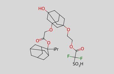 CC(C)C1(OC(=O)COC23CC4CC(O)(CC(OCCOC(=O)C(F)(F)S(=O)(=O)O)(C4)C2)C3)C2CC3CC(C2)CC1C3